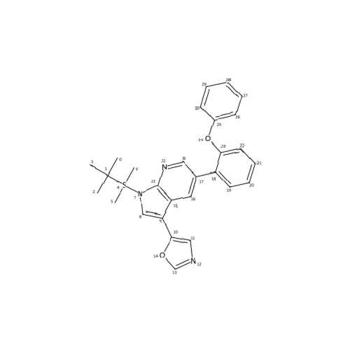 CC(C)(C)S(C)(C)n1cc(-c2cnco2)c2cc(-c3ccccc3Oc3ccccc3)cnc21